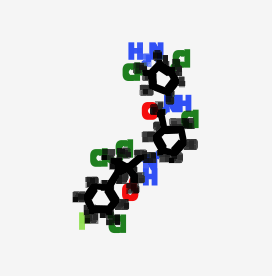 Nc1c(Cl)cc(NC(=O)c2cc(NCC3(C=O)C(c4ccc(F)c(Cl)c4)C3(Cl)Cl)ccc2Cl)cc1Cl